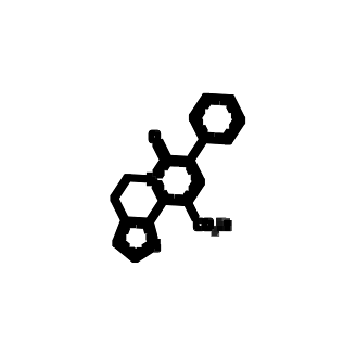 CCOC(=O)c1cc(-c2ccccc2)c(=O)n2c1-c1sccc1CC2